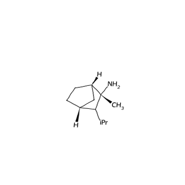 CC(C)C1[C@@H]2CC[C@@H](C2)[C@]1(C)N